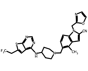 Cc1c(CN2CCC(Nc3ncnc4sc(CC(F)(F)F)cc34)CC2)ccc2c1cc(C#N)n2Cc1ncco1